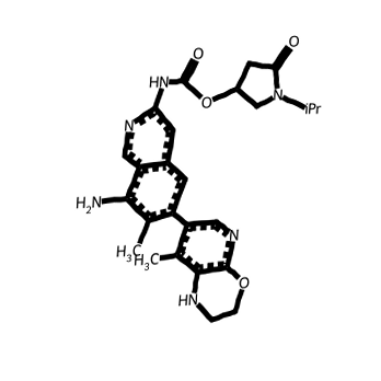 Cc1c(-c2cc3cc(NC(=O)OC4CC(=O)N(C(C)C)C4)ncc3c(N)c2C)cnc2c1NCCO2